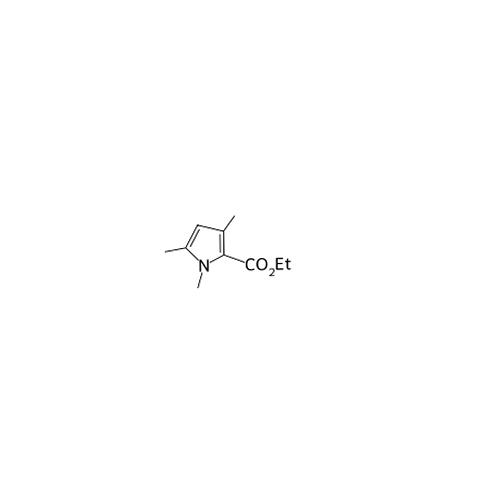 CCOC(=O)c1c(C)cc(C)n1C